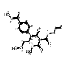 C=CCOC(=O)N(C(=O)OC(C)(C)C)C(=O)N(CCOC(C)(C)C)c1ccc(C(C)=NO)cc1